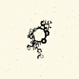 C=CC(=O)N1CC[C@H](C(=O)N(C)[C@H](C(=O)N[C@H]2Cc3cccc(c3)-c3ccc4c(c3)c(c(-c3cccnc3[C@H](C)OC)n4CC)CC(C)(C)COC(=O)[C@@H]3CCCN(N3)C2=O)[C@@H]2CCO2)C1